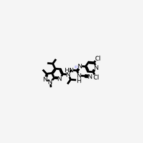 Cc1nn(C)c2nc(N(N/C(=N/c3cc(Cl)nc(Cl)c3)NC#N)C(C)C)cc(C(C)C)c12